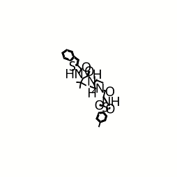 Cc1ccc(S(=O)(=O)NCC(=O)N2C[C@@H]3C[C@H]2CN3C(=O)C(NC(=O)c2cc3ccccc3s2)C(C)(C)C)cc1